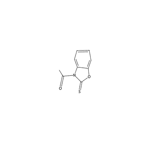 CC(=O)n1c(=S)oc2ccccc21